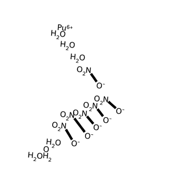 O.O.O.O.O.O.O=[N+]([O-])[O-].O=[N+]([O-])[O-].O=[N+]([O-])[O-].O=[N+]([O-])[O-].O=[N+]([O-])[O-].O=[N+]([O-])[O-].[Pu+6]